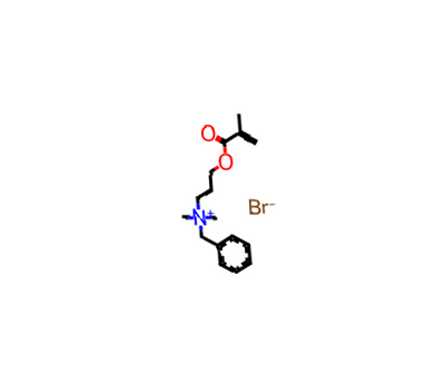 C=C(C)C(=O)OCCC[N+](C)(C)Cc1ccccc1.[Br-]